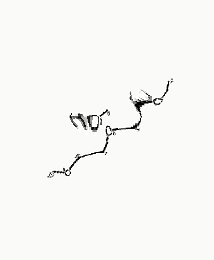 CO.COCCOCCOC